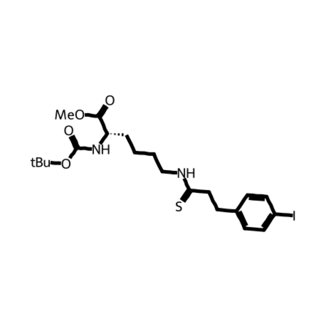 COC(=O)[C@H](CCCCNC(=S)CCc1ccc(I)cc1)NC(=O)OC(C)(C)C